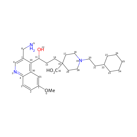 COc1ccc2ncc(CN)c(C(O)CCC3(C(=O)O)CCN(CCC4CCCCC4)CC3)c2c1